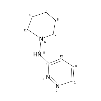 c1cnnc(NN2CCCCC2)c1